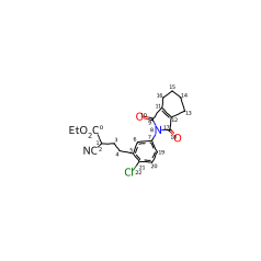 CCOC(=O)C(C#N)CCc1cc(N2C(=O)C3=C(CCCC3)C2=O)ccc1Cl